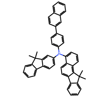 CC1(C)c2ccccc2-c2ccc(N(c3ccc(-c4ccc5ccccc5c4)cc3)c3cccc4c5c(ccc34)-c3ccccc3C5(C)C)cc21